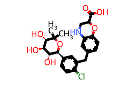 CC1(C)O[C@@H](c2ccc(Cl)c(Cc3ccc4c(c3)NCC(C(=O)O)O4)c2)[C@H](O)[C@@H](O)[C@@H]1O